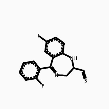 Fc1ccccc1C1=NCC(C=S)Nc2ccc(I)cc21